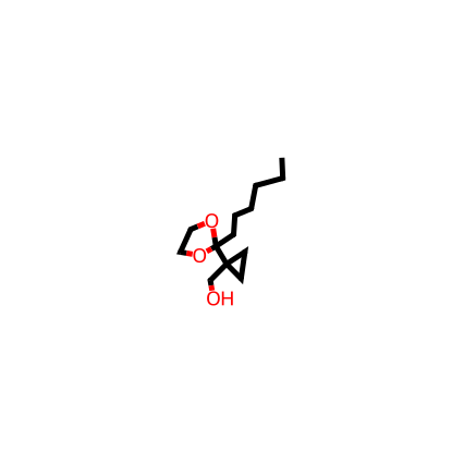 CCCCCCC1(C2(CO)CC2)OCCO1